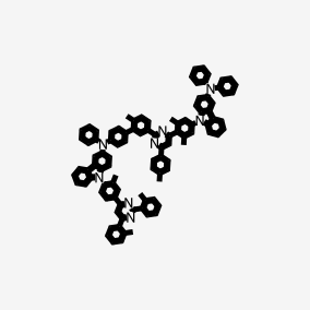 Cc1ccc(-c2cc(-c3c(C)cc(-n4c5ccccc5c5cc(N(c6ccccc6)c6ccccc6)ccc54)cc3C)nc(-c3ccc(C)c(-c4ccc(N(c5ccccc5)c5ccc6c(c5)c5ccccc5n6-c5ccc(-c6cc(-c7ccccc7C)nc(-c7ccccc7C)n6)cc5C)cc4)c3)n2)cc1